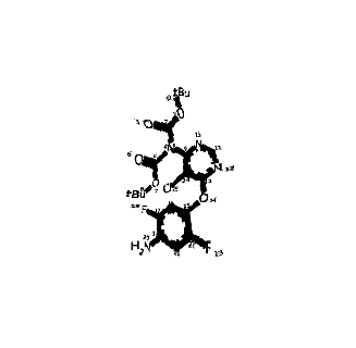 CC(C)(C)OC(=O)N(C(=O)OC(C)(C)C)c1ncnc(Oc2cc(F)c(N)cc2F)c1Cl